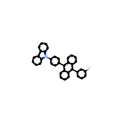 Fc1cccc(-c2c3ccccc3c(-c3ccc(-n4c5ccccc5c5ccccc54)cc3)c3ccccc23)c1